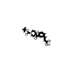 CC(C)(C)OC(=O)N1CCC2(CC1)Oc1ccc(C=CC(=O)O)cc1C2=O